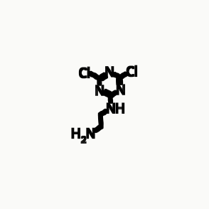 NCCNc1nc(Cl)nc(Cl)n1